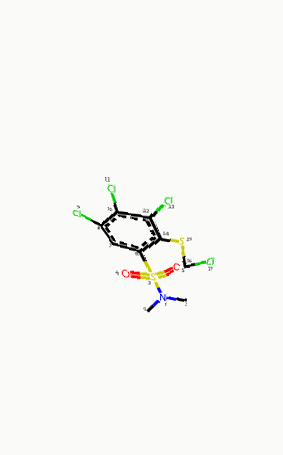 CN(C)S(=O)(=O)c1cc(Cl)c(Cl)c(Cl)c1SCCl